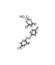 O=C(O)N1C[C@@H]2[C@H](C1)[C@@H]2c1nc(OCc2ccc(Cl)cc2F)ccc1F